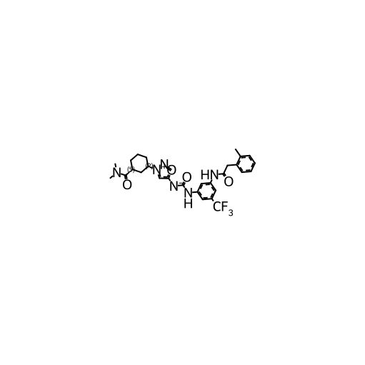 Cc1ccccc1CC(=O)Nc1cc(NC(=O)[N-]c2c[n+]([C@@H]3CCC[C@H](C(=O)N(C)C)C3)no2)cc(C(F)(F)F)c1